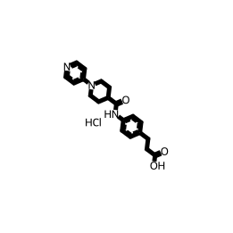 Cl.O=C(O)CCc1ccc(NC(=O)C2CCN(c3ccncc3)CC2)cc1